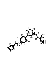 Cc1cc(OCc2cccs2)ccc1C1CN(CCC(=O)O)CCO1